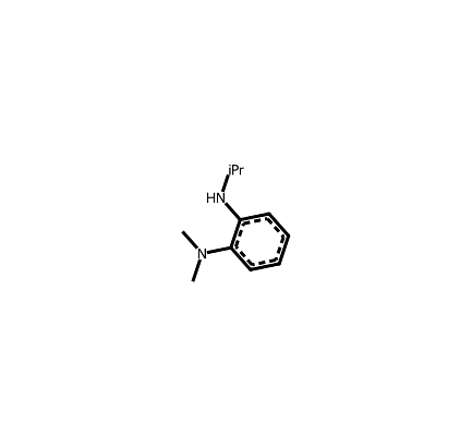 CC(C)Nc1ccccc1N(C)C